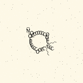 C=C=C=C=C1C(CCCCC)CCOC(=O)CCCCCCCC(OC(=O)CN2CCCC2)CCCCCCCC(=O)OCCC1CCCCC